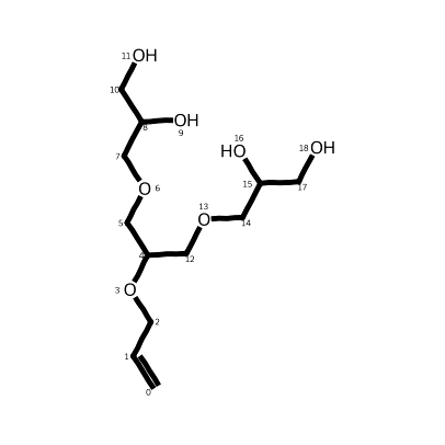 C=CCOC(COCC(O)CO)COCC(O)CO